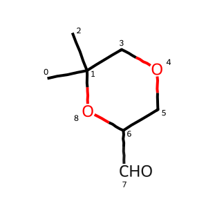 CC1(C)COCC(C=O)O1